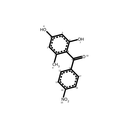 Cc1cc(O)cc(O)c1C(=O)c1ccc([N+](=O)[O-])cc1